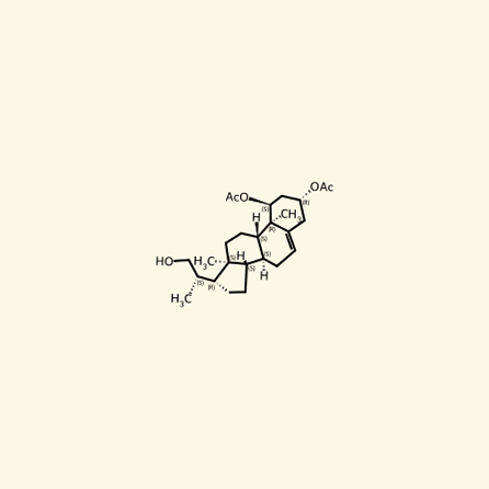 CC(=O)O[C@@H]1CC2=CC[C@H]3[C@@H]4CC[C@H]([C@H](C)CO)[C@@]4(C)CC[C@@H]3[C@@]2(C)[C@@H](OC(C)=O)C1